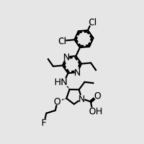 CCc1nc(-c2ccc(Cl)cc2Cl)c(CC)nc1N[C@@H]1C(CC)N(C(=O)O)C[C@@H]1OCCF